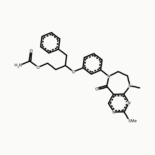 CSc1ncc2c(n1)N(C)CCN(c1cccc(OC(CCOC(N)=O)Cc3ccccc3)c1)C2=O